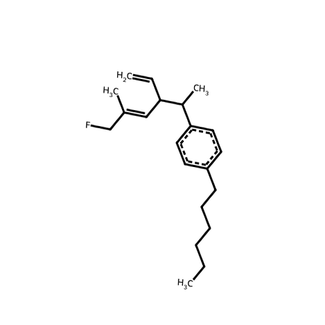 C=CC(/C=C(\C)CF)C(C)c1ccc(CCCCCC)cc1